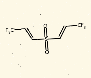 O=S(=O)(C=CC(F)(F)F)/C=C/C(F)(F)F